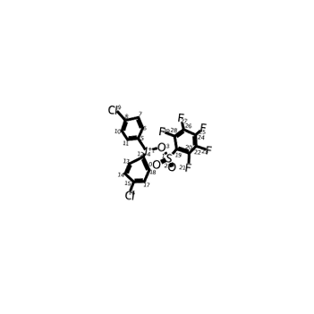 O=S(=O)(O[I+](c1ccc(Cl)cc1)c1ccc(Cl)cc1)c1c(F)c(F)c(F)c(F)c1F